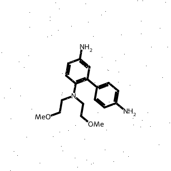 COCCN(CCOC)c1ccc(N)cc1-c1ccc(N)cc1